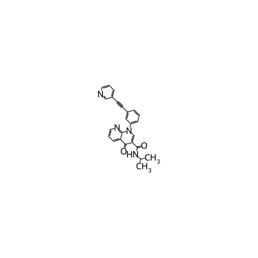 CC(C)NC(=O)c1cn(-c2cccc(C#Cc3cccnc3)c2)c2ncccc2c1=O